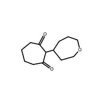 O=C1CCCCC(=O)C1C1CCCOCC1